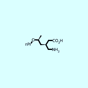 CCCO[C@@H](C)C[C@H](CN)CC(=O)O